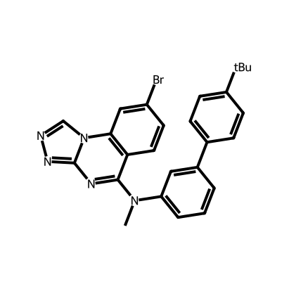 CN(c1cccc(-c2ccc(C(C)(C)C)cc2)c1)c1nc2nncn2c2cc(Br)ccc12